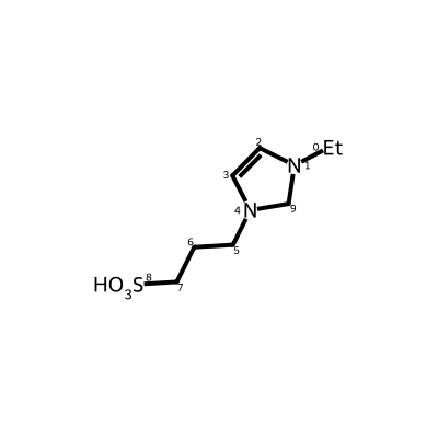 CCN1C=CN(CCCS(=O)(=O)O)C1